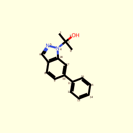 CC(C)(O)n1ncc2ccc(-c3ccccc3)[c]c21